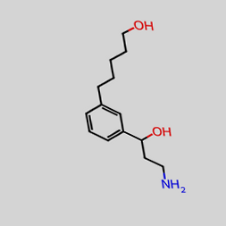 NCCC(O)c1cccc(CCCCCO)c1